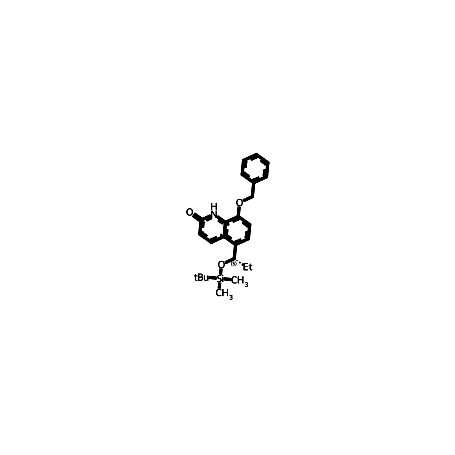 CC[C@H](O[Si](C)(C)C(C)(C)C)c1ccc(OCc2ccccc2)c2[nH]c(=O)ccc12